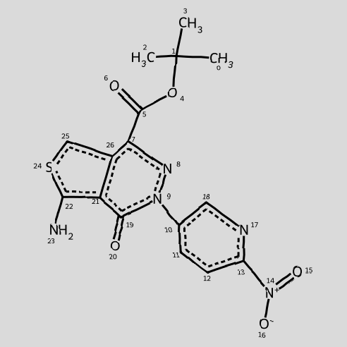 CC(C)(C)OC(=O)c1nn(-c2ccc([N+](=O)[O-])nc2)c(=O)c2c(N)scc12